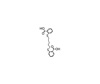 O=C(O)c1ccccc1SCCCCCSc1ccccc1C(=O)O